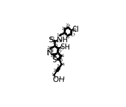 OCC#CCc1cc2c(S)c(C(=S)NCc3ccc(Cl)cc3)cnc2s1